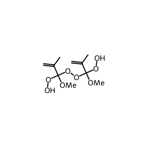 C=C(C)C(OC)(OO)OOC(OC)(OO)C(=C)C